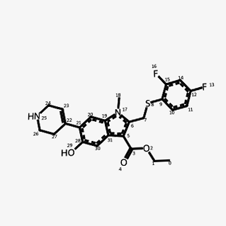 CCOC(=O)c1c(CSc2ccc(F)cc2F)n(C)c2cc(C3=CCNCC3)c(O)cc12